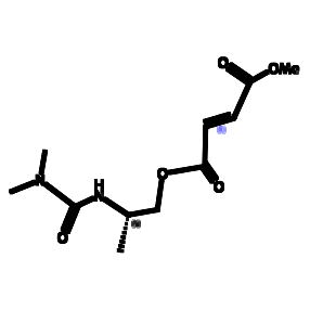 COC(=O)/C=C/C(=O)OC[C@H](C)NC(=O)N(C)C